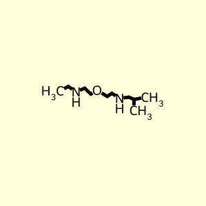 CCNCCOCCNCC(C)C